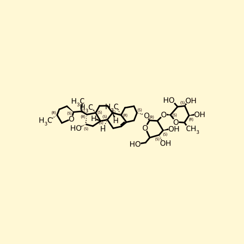 CC1O[C@@H](OC2[C@H](O[C@H]3CC[C@@]4(C)C(=CC[C@H]5[C@@H]6C[C@H](O)[C@H]([C@H](C)[C@@H]7CC[C@@H](C)CO7)[C@@]6(C)CC[C@@H]54)C3)OC(CO)[C@@H](O)[C@@H]2O)C(O)[C@@H](O)[C@H]1O